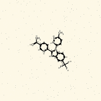 Cc1ccc(-n2c(-c3ccc(C(N)=O)cn3)nc3cc(C(F)(F)F)ccc32)nn1